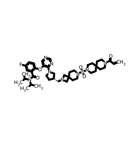 C=CC(=O)N1CCC2(CC1)CCN(S(=O)(=O)N1CCC3(CC1)CN(C[C@@H]1CCN(c4ncncc4Oc4ccc(F)cc4C(=O)N(C(C)C)C(C)C)C1)C3)CC2